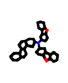 c1ccc2c(c1)ccc1c3cc(N(c4ccc5oc6ccccc6c5c4)c4ccc5oc6ccccc6c5c4)ccc3ccc21